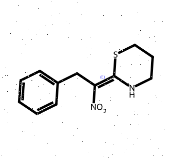 O=[N+]([O-])/C(Cc1ccccc1)=C1\NCCCS1